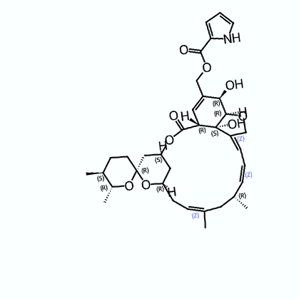 C/C1=C/C[C@@H]2C[C@@H](C[C@]3(CC[C@H](C)[C@@H](C)O3)O2)OC(=O)[C@@H]2C=C(COC(=O)c3ccc[nH]3)[C@@H](O)[C@H]3OC/C(=C/C=C\[C@H](C)C1)[C@]32O